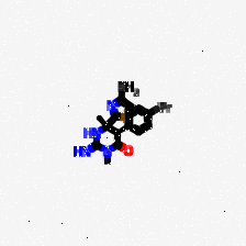 Bc1csc([C@@]2(C)NC(=N)N(C)C(=O)[C@@H]2c2ccc(C(C)C)cc2)n1